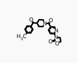 Cc1ccc(C(=O)C2CCN(C(=O)c3ccc(N4CCOC4=O)nc3)CC2)cc1